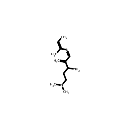 C=C(/C=N\C(C)=C/C)C(N)CCN(C)C